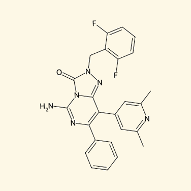 Cc1cc(-c2c(-c3ccccc3)nc(N)n3c(=O)n(Cc4c(F)cccc4F)nc23)cc(C)n1